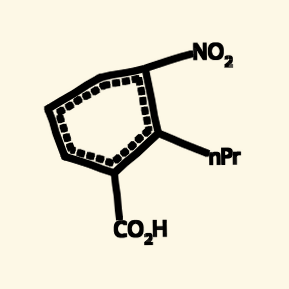 CCCc1c(C(=O)O)cccc1[N+](=O)[O-]